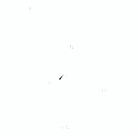 C[C@H]([CH][C@H](C)CC(N)=O)c1nc2ccc(F)cc2s1